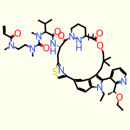 C=CC(=O)N(C)CCN(C)C(=O)N(C)C(C(=O)N[C@H]1Cc2nc(cs2)-c2ccc3c(c2)c(c(-c2cccnc2[C@H](C)OCC)n3CC)CC(C)(C)COC(=O)[C@@H]2CCCN(N2)C1=O)C(C)C